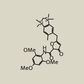 COc1cc(OC)c(NC(=O)C2OC(Cc3cc4c(cc3C)[Si](C)(C)C[Si]4(C)C)=CC2=O)c(OC)c1